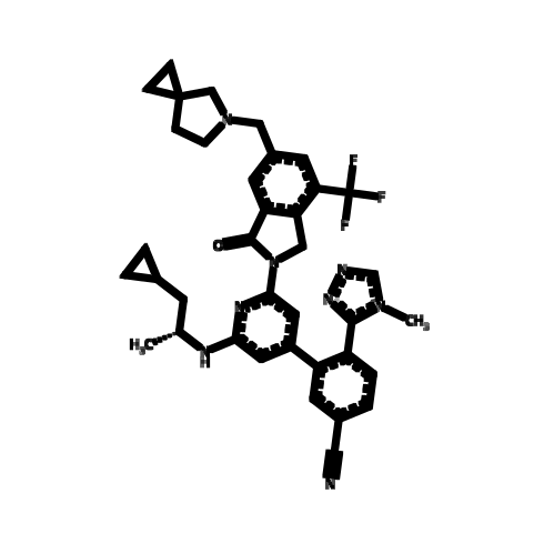 C[C@H](CC1CC1)Nc1cc(-c2cc(C#N)ccc2-c2nncn2C)cc(N2Cc3c(cc(CN4CCC5(CC5)C4)cc3C(F)(F)F)C2=O)n1